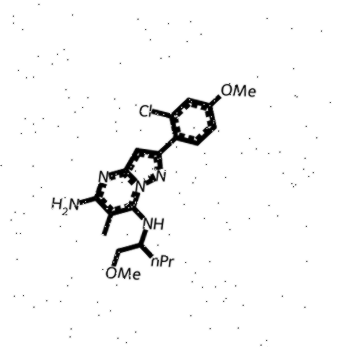 CCCC(COC)Nc1c(C)c(N)nc2cc(-c3ccc(OC)cc3Cl)nn12